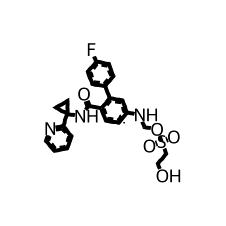 O=C(NC1(c2ccccn2)CC1)c1c[c]c(NCOS(=O)(=O)CCO)cc1-c1ccc(F)cc1